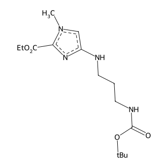 CCOC(=O)c1nc(NCCCNC(=O)OC(C)(C)C)cn1C